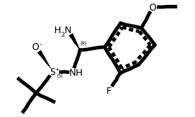 COc1ccc(F)c([C@H](N)N[S@+]([O-])C(C)(C)C)c1